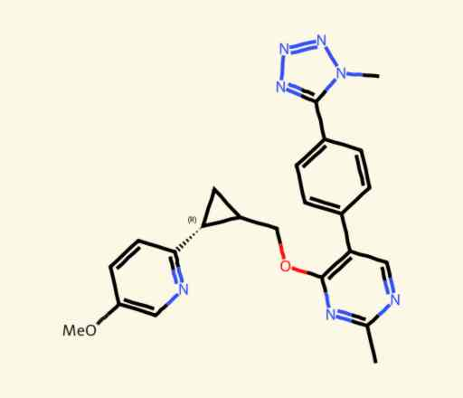 COc1ccc([C@@H]2CC2COc2nc(C)ncc2-c2ccc(-c3nnnn3C)cc2)nc1